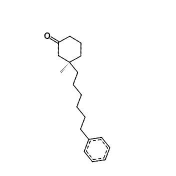 C[C@@]1(CCCCCCc2ccccc2)CCCC(=O)C1